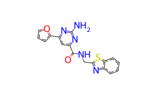 Nc1nc(C(=O)NCc2nc3ccccc3s2)cc(-c2ccco2)n1